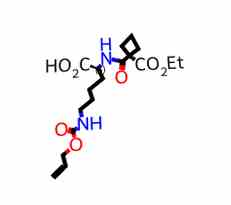 C=CCOC(=O)NCCCC[C@H](NC(=O)C1(C(=O)OCC)CCC1)C(=O)O